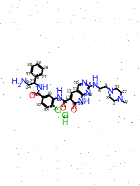 CN1CCN(CCNc2ncc3cc(C(=O)Nc4cc(C(=O)NC(CN)c5ccccc5)ccc4Cl)c(=O)[nH]c3n2)CC1.Cl